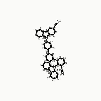 N#Cc1ccc2c(c1)c1ccccc1n2-c1ccc(-c2cccc(-c3cccc(C#N)c3-n3c4ccccc4c4ccccc43)c2)cc1